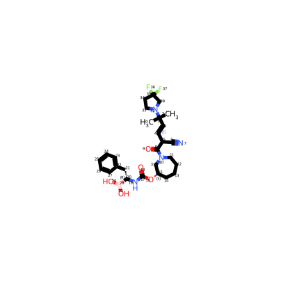 CC(C)(/C=C/C(C#N)C(=O)N1CCCC[C@H](OC(=O)N[C@@H](Cc2ccccc2)B(O)O)C1)N1CCC(F)(F)C1